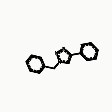 [c]1ccccc1-c1cn(Cc2ccccc2)nn1